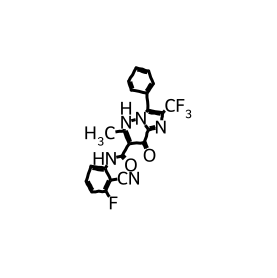 Cc1[nH]n2c(-c3ccccc3)c(C(F)(F)F)nc2c(=O)c1C(=O)Nc1cccc(F)c1C#N